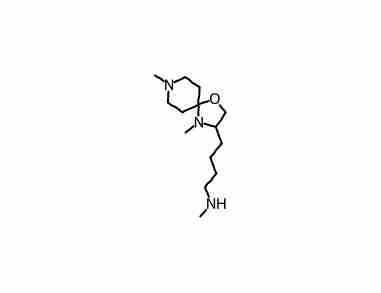 CNCCCCC1COC2(CCN(C)CC2)N1C